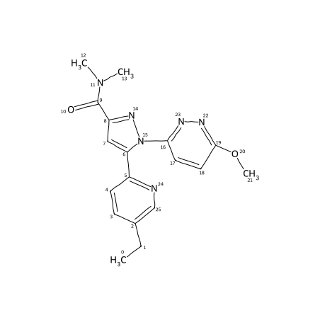 CCc1ccc(-c2cc(C(=O)N(C)C)nn2-c2ccc(OC)nn2)nc1